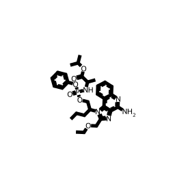 CCCC(COP(=O)(NC(C)C(=O)OC(C)C)Oc1ccccc1)n1c(COCC)nc2c(N)nc3ccccc3c21